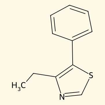 CCc1ncsc1-c1ccccc1